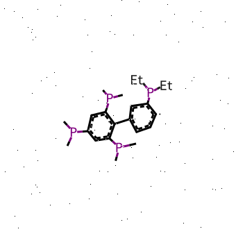 CCP(CC)c1[c]ccc(-c2c(P(C)C)cc(P(C)C)cc2P(C)C)c1